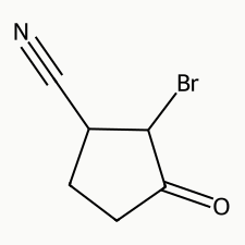 N#CC1CCC(=O)C1Br